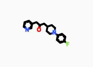 O=C(Cc1cccnc1)CC1CCN(c2ccc(F)cc2)CC1